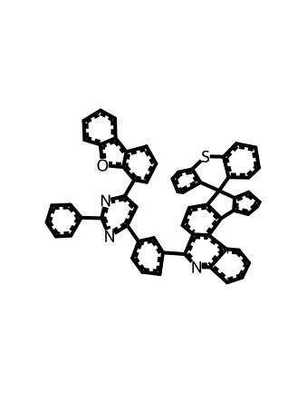 c1ccc(-c2nc(-c3cccc(-c4nc5ccccc5c5c6c(ccc45)C4(c5ccccc5Sc5ccccc54)c4ccccc4-6)c3)cc(-c3cccc4c3oc3ccccc34)n2)cc1